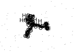 COC(=O)[C@H]1O[C@@H](Oc2ccc(COC(=O)Oc3ccc([N+](=O)[O-])cc3)cc2NC(=O)CCNC(=O)OCC2c3ccccc3-c3ccccc32)[C@H](CC(=O)O)[C@@H](CC(=O)O)[C@@H]1CC(=O)O